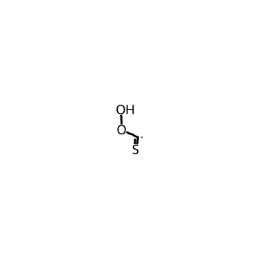 OO[C]=S